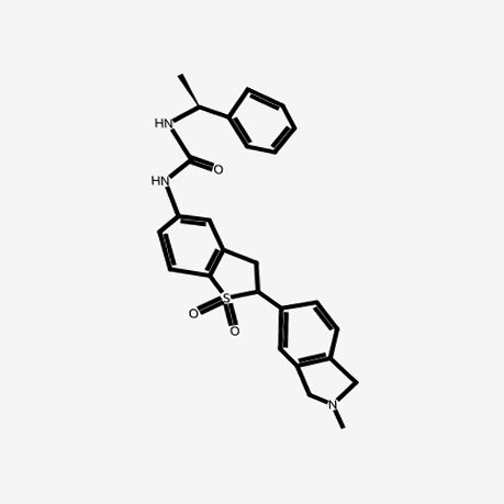 C[C@H](NC(=O)Nc1ccc2c(c1)CC(c1ccc3c(c1)CN(C)C3)S2(=O)=O)c1ccccc1